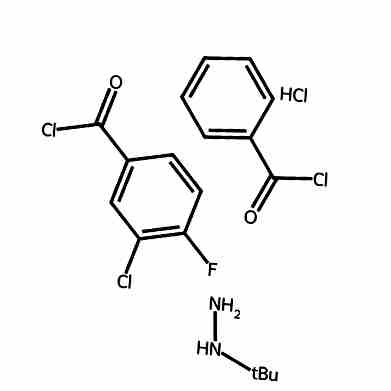 CC(C)(C)NN.Cl.O=C(Cl)c1ccc(F)c(Cl)c1.O=C(Cl)c1ccccc1